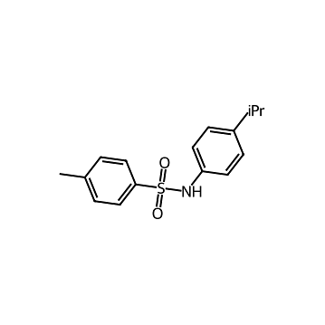 Cc1ccc(S(=O)(=O)Nc2ccc(C(C)C)cc2)cc1